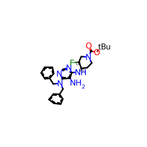 CC(C)(C)OC(=O)N1CC[C@@H](Nc2ncnc(N(Cc3ccccc3)Cc3ccccc3)c2N)[C@@H](F)C1